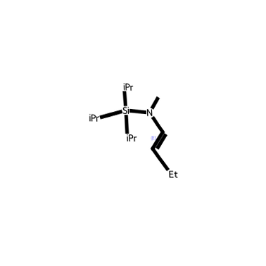 CC/C=C/N(C)[Si](C(C)C)(C(C)C)C(C)C